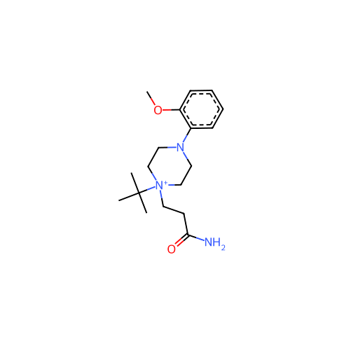 COc1ccccc1N1CC[N+](CCC(N)=O)(C(C)(C)C)CC1